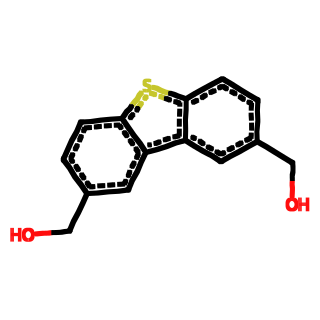 OCc1ccc2sc3ccc(CO)cc3c2c1